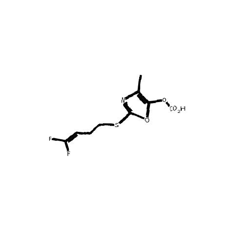 Cc1nc(SCCC=C(F)F)oc1OC(=O)O